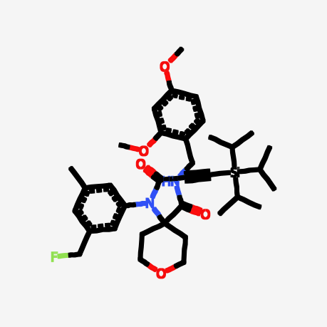 COc1ccc(CNC(=O)C2(N(C(=O)C#C[Si](C(C)C)(C(C)C)C(C)C)c3cc(C)cc(CF)c3)CCOCC2)c(OC)c1